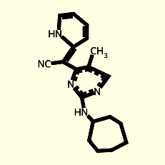 Cc1cnc(NC2CCCCCC2)nc1C(C#N)=C1C=CC=CN1